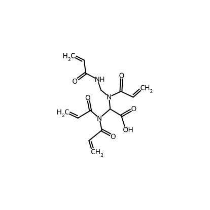 C=CC(=O)NCN(C(=O)C=C)C(C(=O)O)N(C(=O)C=C)C(=O)C=C